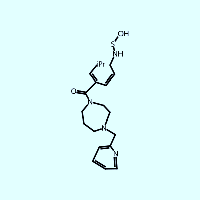 CC(C)/C=C(\C=C/CNSO)C(=O)N1CCCN(Cc2ccccn2)CC1